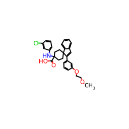 COCCOc1cccc(C2=Cc3ccccc3C23CCC(Nc2cccc(Cl)c2)(C(=O)O)CC3)c1